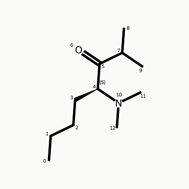 CCCC[C@@H](C(=O)C(C)C)N(C)C